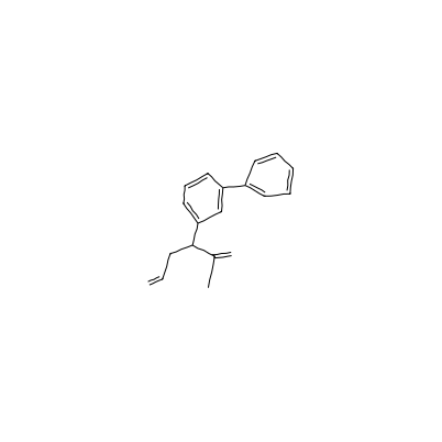 C=CCC(C(=C)C)c1cccc(-c2ccccc2)c1